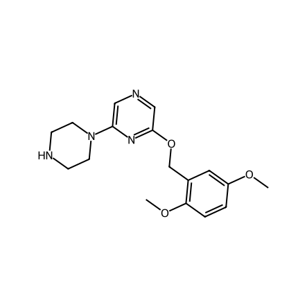 COc1ccc(OC)c(COc2cncc(N3CCNCC3)n2)c1